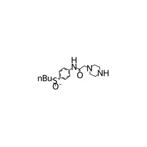 CCCC[S+]([O-])c1ccc(NC(=O)CN2CCNCC2)cc1